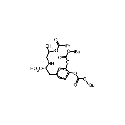 CCC(C)OC(=O)Oc1ccc(C[C@H](NCC(C)OC(=O)C(C)C)C(=O)O)cc1OC(=O)OC(C)CC